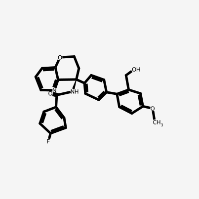 COc1ccc(-c2ccc([C@@]3(NC(=O)c4ccc(F)cc4)CCOc4cccnc43)cc2)c(CO)c1